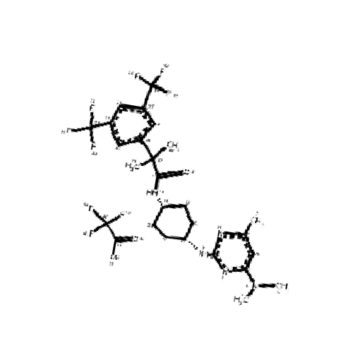 Cc1cc(N(C)C)nc(N[C@H]2CC[C@@H](NC(=O)C(C)(C)c3cc(C(F)(F)F)cc(C(F)(F)F)c3)CC2)n1.O=C(O)C(F)(F)F